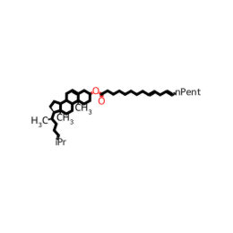 CCCCCC=CCC=CCCCCCCCC(=O)OC1CC[C@@]2(C)C(=CCC3C2CC[C@@]2(C)C3CC[C@@H]2[C@H](C)CCCC(C)C)C1